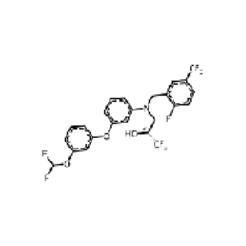 O[C@H](CN(Cc1cc(C(F)(F)F)ccc1F)c1cccc(Oc2cccc(OC(F)F)c2)c1)C(F)(F)F